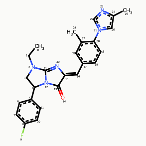 CCN1CC(c2ccc(F)cc2)N2C(=O)/C(=C/c3ccc(-n4cnc(C)c4)c(C)c3)N=C12